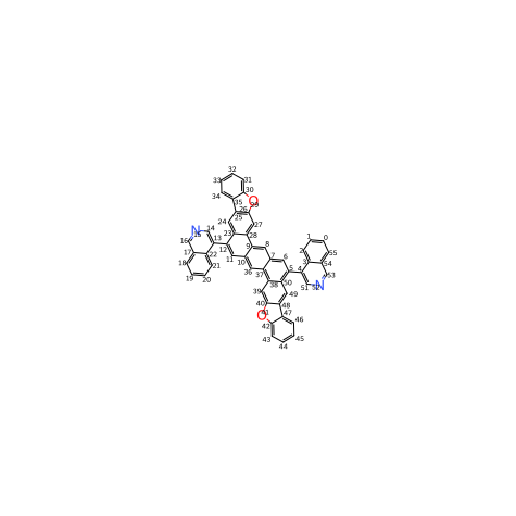 c1ccc2c(-c3cc4cc5c(cc(-c6cncc7ccccc67)c6cc7c(cc65)oc5ccccc57)cc4c4cc5oc6ccccc6c5cc34)cncc2c1